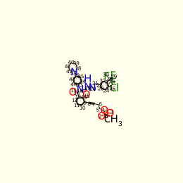 CS(=O)(=O)OCCC#Cc1cccc(C(=O)N(C(=O)NN=Cc2ccc(Cl)c(C(F)(F)F)c2)c2ccc(N3CCCCC3)cc2)c1